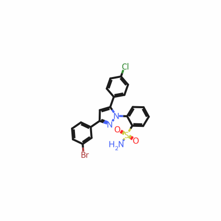 NS(=O)(=O)c1ccccc1-n1nc(-c2cccc(Br)c2)cc1-c1ccc(Cl)cc1